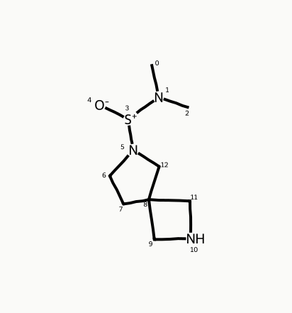 CN(C)[S+]([O-])N1CCC2(CNC2)C1